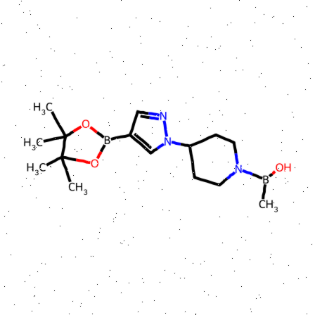 CB(O)N1CCC(n2cc(B3OC(C)(C)C(C)(C)O3)cn2)CC1